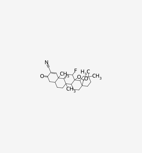 CC1(C)CCC23CCC4C5(C)CCC6CC(=O)C(C#N)=CC6(C)C5=CC(F)C4(OC2=O)C3C1